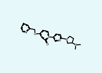 CN(C)C1CCN(c2ccc(-n3ccc(OCc4ccccn4)cc3=O)cn2)C1